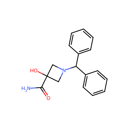 NC(=O)C1(O)CN(C(c2ccccc2)c2ccccc2)C1